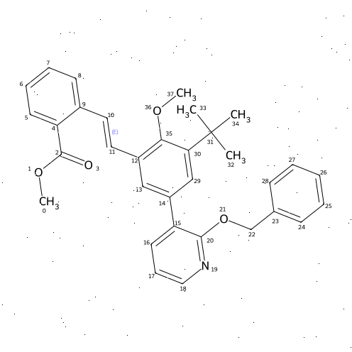 COC(=O)c1ccccc1/C=C/c1cc(-c2cccnc2OCc2ccccc2)cc(C(C)(C)C)c1OC